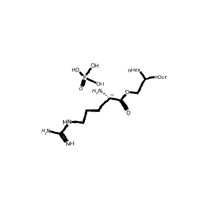 CCCCCCCCC(CCCCCC)COC(=O)[C@@H](N)CCCNC(=N)N.O=P(O)(O)O